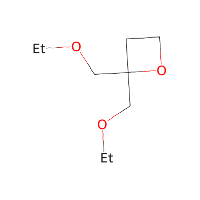 CCOCC1(COCC)CCO1